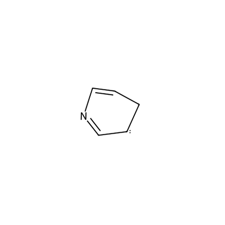 [C]1C=NC=CC1